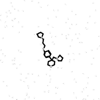 c1cc(C2(CN3CCCC3)CCOCC2)ccc1SCCCN1CCCC1